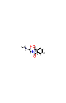 C/C=C/CCN1C(=O)c2ccccc2C1O